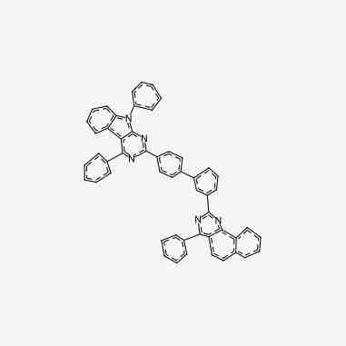 c1ccc(-c2nc(-c3cccc(-c4ccc(-c5nc(-c6ccccc6)c6c7ccccc7n(-c7ccccc7)c6n5)cc4)c3)nc3c2ccc2ccccc23)cc1